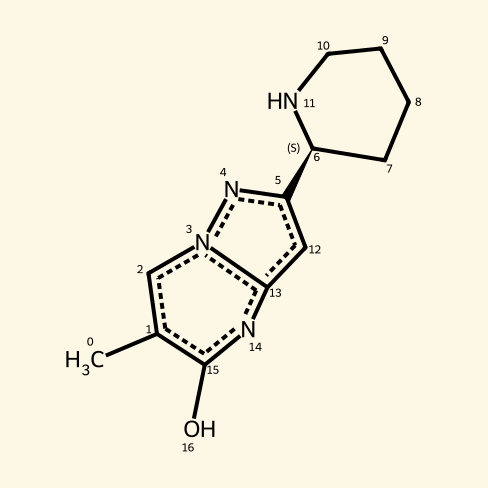 Cc1cn2nc([C@@H]3CCCCN3)cc2nc1O